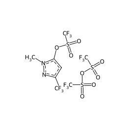 Cn1nc(C(F)(F)F)cc1OS(=O)(=O)C(F)(F)F.O=S(=O)(OS(=O)(=O)C(F)(F)F)C(F)(F)F